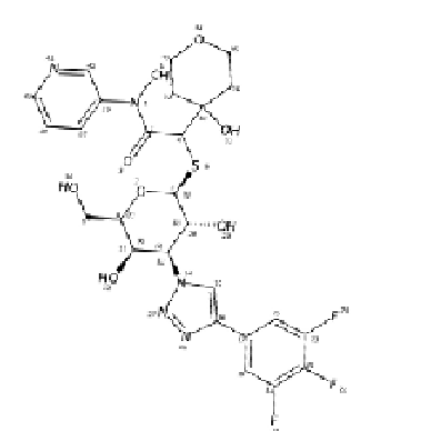 CN(C(=O)C(S[C@@H]1O[C@H](CO)[C@H](O)[C@H](n2cc(-c3cc(F)c(F)c(F)c3)nn2)[C@H]1O)C1(O)CCOCC1)c1cccnc1